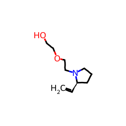 C=C[C@@H]1CCCN1CCOCCO